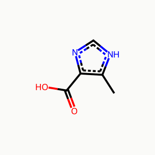 Cc1[nH]cnc1C(=O)O